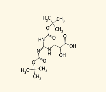 CC(C)(C)OC(=O)/N=C(\NCC(O)C(=O)O)NC(=O)OC(C)(C)C